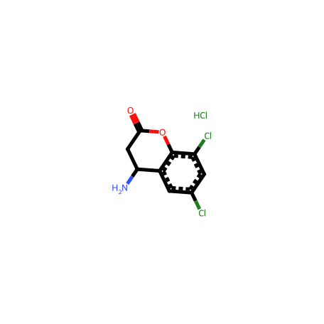 Cl.NC1CC(=O)Oc2c(Cl)cc(Cl)cc21